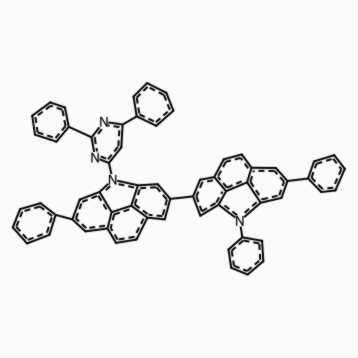 c1ccc(-c2cc3ccc4cc(-c5cc6ccc7cc(-c8ccccc8)cc8c7c6c(c5)n8-c5cc(-c6ccccc6)nc(-c6ccccc6)n5)cc5c4c3c(c2)n5-c2ccccc2)cc1